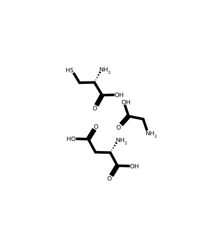 NCC(=O)O.N[C@@H](CC(=O)O)C(=O)O.N[C@@H](CS)C(=O)O